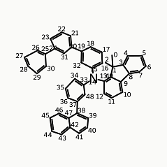 CC1(C)c2ccccc2-c2cccc(N(c3cccc(-c4cccc(-c5ccccc5)c4)c3)c3cccc(-c4cccc5ccccc45)c3)c21